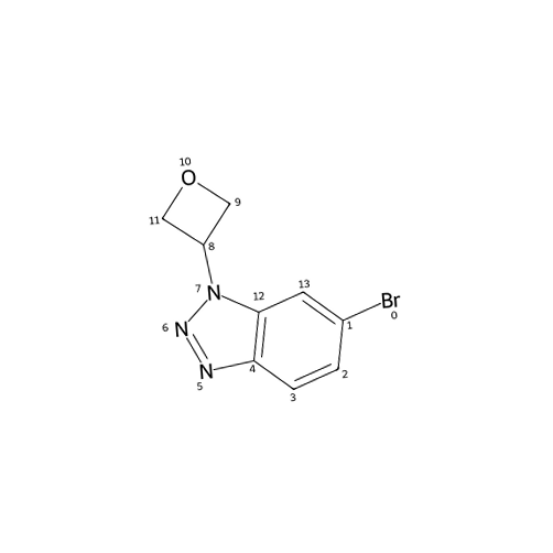 Brc1ccc2nnn(C3COC3)c2c1